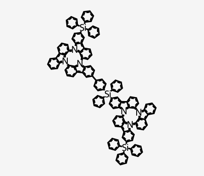 c1ccc([Si](c2ccccc2)(c2ccccc2)c2ccc3c(c2)c2cccc4c2n3c2cccc3c5ccccc5n(c5cccc6c7cc(-c8ccc([Si](c9ccccc9)(c9ccccc9)c9ccc%10c(c9)c9cccc%11c9n%10c9cccc%10c%12cc([Si](c%13ccccc%13)(c%13ccccc%13)c%13ccccc%13)ccc%12n(c%12cccc%13c%14ccccc%14n%11c%13%12)c%109)cc8)ccc7n4c65)c32)cc1